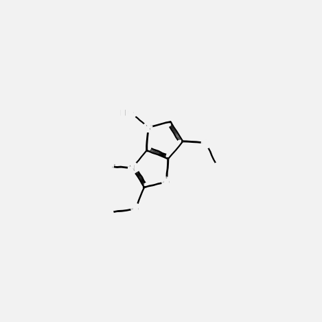 COc1cn(O)c2c1oc(OC)[n+]2[O-]